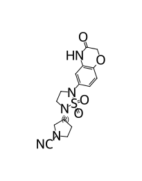 N#CN1CC[C@@H](N2CCN(c3ccc4c(c3)NC(=O)CO4)S2(=O)=O)C1